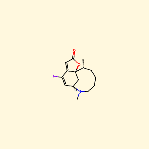 C[C@@H]1CCCCN(C)[C@@H]2C=C(I)C3=CC(=O)O[C@@]31C2